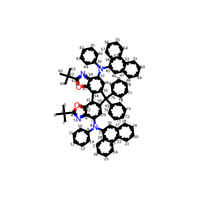 CC(C)(C)c1nc2c(N(c3ccccc3)c3cc4ccccc4c4ccccc34)cc3c(c2o1)-c1c(cc(N(c2ccccc2)c2cc4ccccc4c4ccccc24)c2nc(C(C)(C)C)oc12)C3(c1ccccc1)c1ccccc1